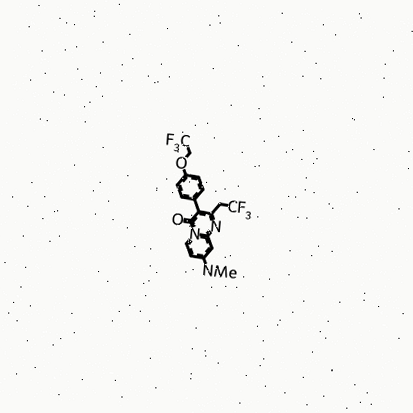 CNc1ccn2c(=O)c(-c3ccc(OCC(F)(F)F)cc3)c(CC(F)(F)F)nc2c1